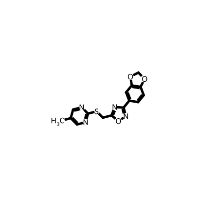 Cc1cnc(SCc2nc(-c3ccc4c(c3)OCO4)no2)nc1